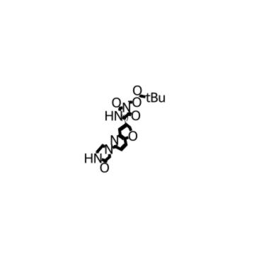 CC(C)(C)C(=O)OCN1C(=O)N[C@@H](C2=Cc3nc(N4CCNC(=O)C4)ccc3OC2)C1=O